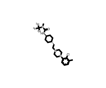 [2H]C([2H])([2H])N(C)C(=O)N[C@H]1CC[C@H](CCN2CCN(c3cccc(C)c3Cl)CC2)CC1